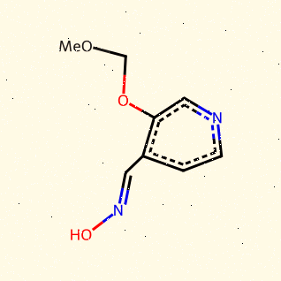 COCOc1cnccc1/C=N/O